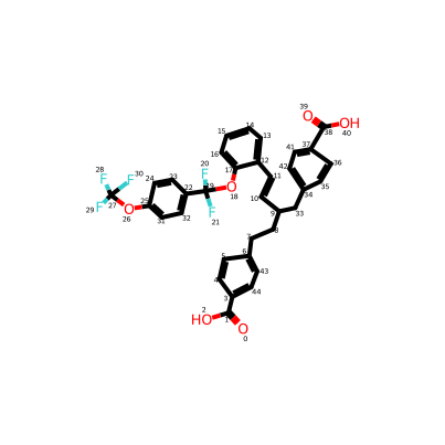 O=C(O)c1ccc(CCC(/C=C/c2ccccc2OC(F)(F)c2ccc(OC(F)(F)F)cc2)Cc2ccc(C(=O)O)cc2)cc1